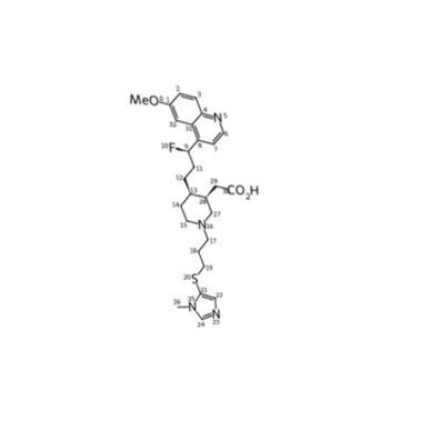 COc1ccc2nccc([C@H](F)CC[C@@H]3CCN(CCCSc4cncn4C)C[C@@H]3CC(=O)O)c2c1